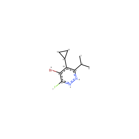 CC(C)c1nnc(F)c(Br)c1C1CC1